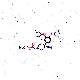 CCOC(=O)CN1CCC(C#N)(c2ccc(OC(C)C)c(OC3CCCC3)c2)CC1